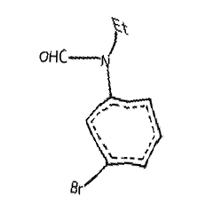 CCN(C=O)c1cccc(Br)c1